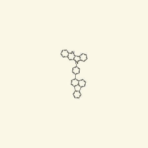 c1ccc2c(c1)-c1cccc3c(-c4ccc(-n5c6ccccc6c6nc7ccccc7cc65)cc4)ccc-2c13